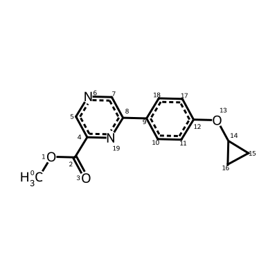 COC(=O)c1cncc(-c2ccc(OC3CC3)cc2)n1